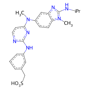 CC(C)Nc1nc2cc(N(C)c3ccnc(Nc4cccc(CS(=O)(=O)O)c4)n3)ccc2n1C